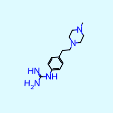 CN1CCN(CCc2ccc(NC(=N)N)cc2)CC1